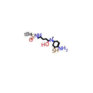 CN(C(O)CCCCN[S+]([O-])C(C)(C)C)C1CC=C(N)C(S)C1